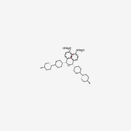 CCCCCCCc1ccc(C(OC(c2ccc(CCCCCCC)cc2)[C@H]2CC[C@H]([C@H]3CC[C@H](C)CC3)CC2)[C@H]2CC[C@H]([C@H]3CC[C@H](C)CC3)CC2)cc1